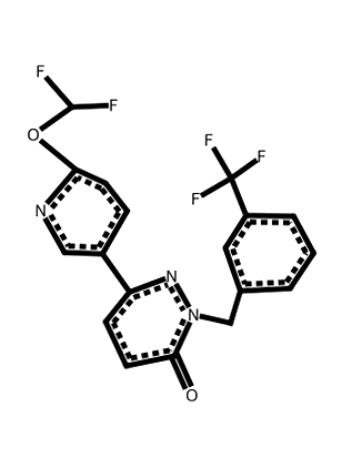 O=c1ccc(-c2ccc(OC(F)F)nc2)nn1Cc1cccc(C(F)(F)F)c1